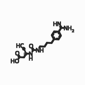 C#C[C@H](CC(=O)O)NC(=O)NCCCCc1ccc(C(=N)N)cc1